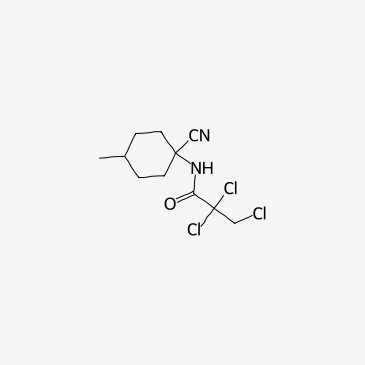 CC1CCC(C#N)(NC(=O)C(Cl)(Cl)CCl)CC1